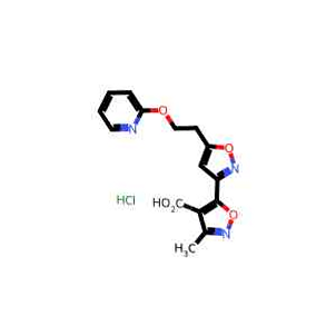 Cc1noc(-c2cc(CCOc3ccccn3)on2)c1C(=O)O.Cl